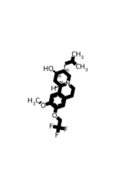 COc1cc2c(cc1OCC(F)(F)F)CCN1C[C@@H](CC(C)C)[C@H](O)C[C@H]21